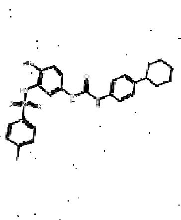 O=C(Nc1ccc(C2CCCCC2)cc1)Nc1ccc(O)c(NS(=O)(=O)c2ccc(F)cc2)c1